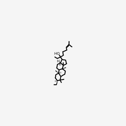 CC[C@H]1CC[C@@]2(C)C(CC[C@]3(C)C2CC[C@@H]2C(C(O)(CC)CCCC=C(C)C)CCC23C)C1(C)C